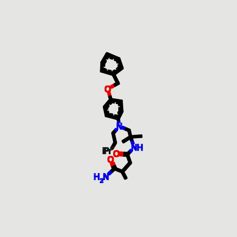 CC(C)CCN(CC(C)(C)NC(=O)CC(C)C(N)=O)c1ccc(OCc2ccccc2)cc1